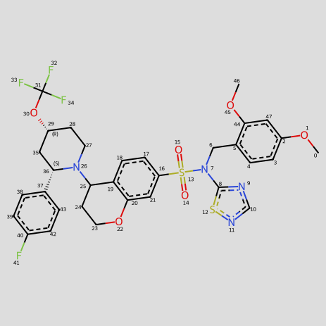 COc1ccc(CN(c2ncns2)S(=O)(=O)c2ccc3c(c2)OCCC3N2CC[C@@H](OC(F)(F)F)C[C@H]2c2ccc(F)cc2)c(OC)c1